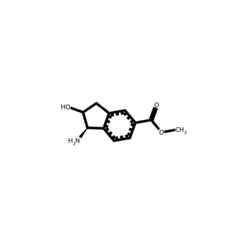 COC(=O)c1ccc2c(c1)CC(O)[C@@H]2N